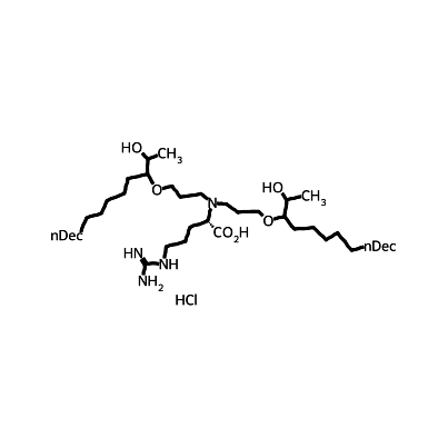 CCCCCCCCCCCCCCCC(OCCCN(CCCOC(CCCCCCCCCCCCCCC)C(C)O)[C@@H](CCCNC(=N)N)C(=O)O)C(C)O.Cl